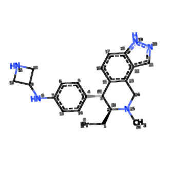 CC(C)C[C@H]1[C@H](c2ccc(NC3CNC3)cc2)c2ccc3[nH]ncc3c2CN1C